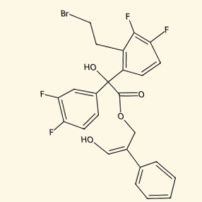 O=C(OCC(=CO)c1ccccc1)C(O)(c1ccc(F)c(F)c1)c1ccc(F)c(F)c1CCBr